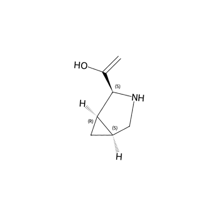 C=C(O)[C@H]1NC[C@H]2C[C@H]21